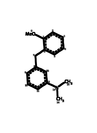 COc1ccccc1Cc1cc[c]c(N(C)C)c1